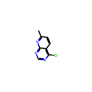 Cc1ccc2c(Cl)ncnc2n1